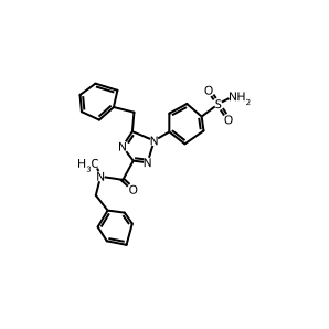 CN(Cc1ccccc1)C(=O)c1nc(Cc2ccccc2)n(-c2ccc(S(N)(=O)=O)cc2)n1